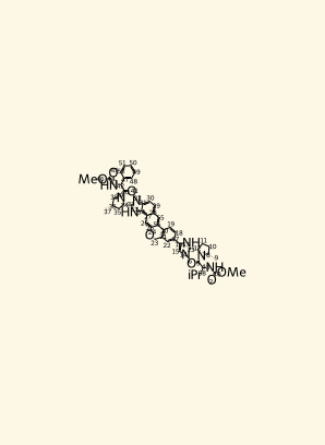 COC(=O)NC(C(=O)N1[C@@H](C)CC[C@H]1c1ncc(-c2ccc3c(c2)COc2cc4c(ccc5nc([C@@H]6C[C@H](C)CN6C(=O)[C@H](NC(=O)OC)c6ccccc6)[nH]c54)cc2-3)[nH]1)C(C)C